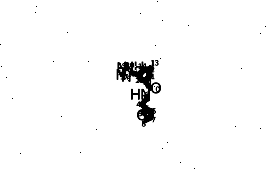 O=C(NCCc1ccco1)c1cc(I)cc(-c2nnn[nH]2)c1